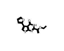 C=C(OCC)c1nc2scc(-c3ccco3)c2c(=O)[nH]1